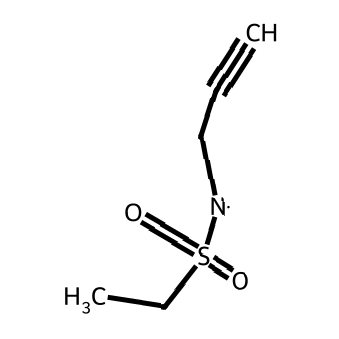 C#CC[N]S(=O)(=O)CC